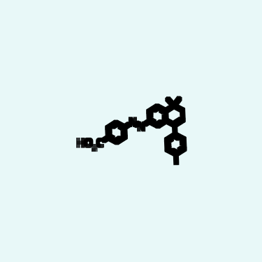 Cc1ccc(C2=CCC(C)(C)c3ccc(/N=N/c4ccc(C(=O)O)cc4)cc32)cc1